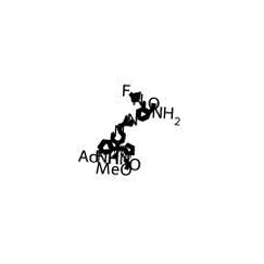 COC(=O)N[C@H]1CCC[C@@H]1[C@](CNC(C)=O)(c1cccc(F)c1)C1CCN(CC2CN(c3ccc(C(N)=O)c(CN4CC(F)C4)c3)C2)CC1